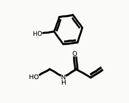 C=CC(=O)NCO.Oc1ccccc1